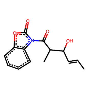 CC=CC(O)C(C)C(=O)n1c(=O)oc2ccccc21